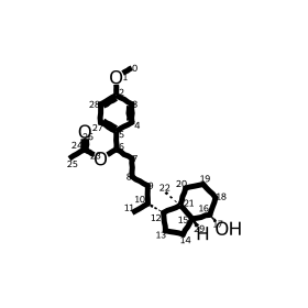 COc1ccc(C(CCCC(C)[C@H]2CC[C@H]3[C@@H](O)CCC[C@]23C)OC(C)=O)cc1